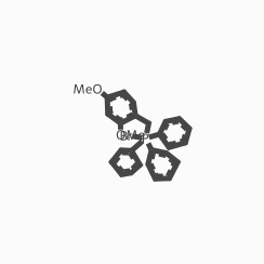 COc1ccc(CP(Br)(c2ccccc2)(c2ccccc2)c2ccccc2)c(OC)c1